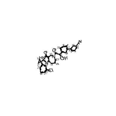 N#Cc1cccc(-c2cccc(C(O)C(=O)N3CCCc4nc(C5(c6cccc(Cl)c6)CC5)[nH]c(=O)c4C3)c2)c1